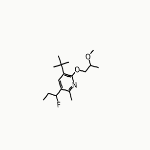 CCC(F)c1cc(C(C)(C)C)c(OCC(C)OC)nc1C